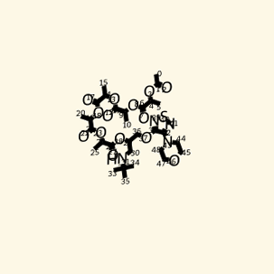 CC(=O)OC(C)C(=O)OC(C)C(=O)OC(C)C(=O)OC(C)C(=O)OC(C)C(=O)OC(CNC(C)(C)C)COc1nsnc1N1CCOCC1